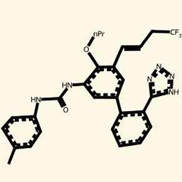 CCCOc1c(C=CCC(F)(F)F)cc(-c2ccccc2-c2nnn[nH]2)cc1NC(=O)Nc1ccc(C)cc1